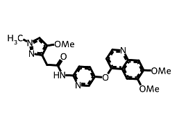 COc1cc2nccc(Oc3ccc(NC(=O)Cc4nn(C)cc4OC)nc3)c2cc1OC